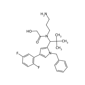 CC(C)(C)C(c1cc(-c2cc(F)ccc2F)cn1Cc1ccccc1)N(CCCN)C(=O)CO